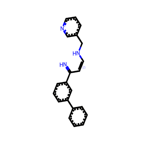 N=C(/C=C\NCc1cccnc1)c1cccc(-c2ccccc2)c1